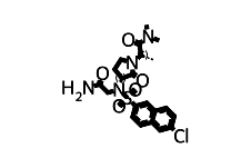 C[C@@H](C(=O)N(C)C)N1CC[C@H](N(CC(N)=O)S(=O)(=O)c2ccc3cc(Cl)ccc3c2)C1=O